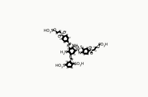 Nc1c(N=Nc2ccc(S(=O)(=O)CCOS(=O)(=O)O)cc2S(=O)(=O)O)cc(/N=N/c2cc(S(=O)(=O)O)ccc2S(=O)(=O)O)c(N)c1/N=N/c1ccc(S(=O)(=O)CCOS(=O)(=O)O)cc1